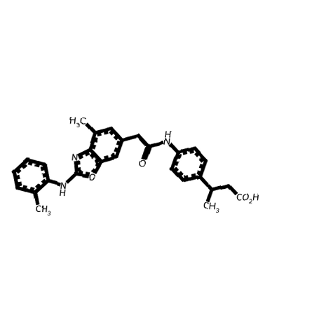 Cc1ccccc1Nc1nc2c(C)cc(CC(=O)Nc3ccc(C(C)CC(=O)O)cc3)cc2o1